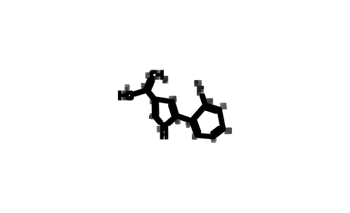 C=C(O)c1c[nH]c(-c2ccccc2F)c1